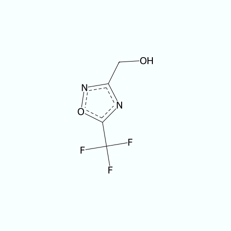 OCc1noc(C(F)(F)F)n1